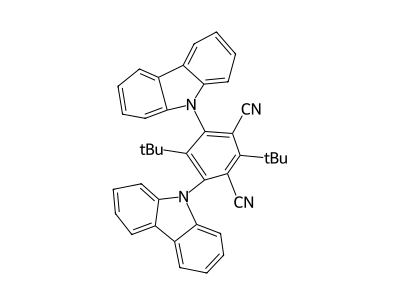 CC(C)(C)c1c(C#N)c(-n2c3ccccc3c3ccccc32)c(C(C)(C)C)c(-n2c3ccccc3c3ccccc32)c1C#N